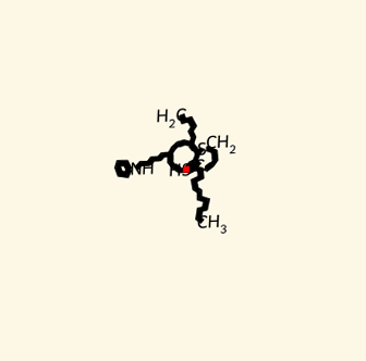 C=C/C=C\CCC1=C/C2SC(=C)/C=C\C=C/CC2(C(/C=C\C=C/CC/C=C\C=C/C)=C\S)/C=C/C=C\C=C(\C=C\C=C\CNc2ccccc2)C/C=C\1